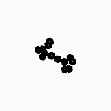 c1ccc2cc(-c3nc4ccccc4c4c3cc(-c3ccc(-c5ccc(-c6nc(-c7cccc8ccccc78)cc(-c7cccc8ccccc78)n6)cc5)cc3)c3ccccc34)ccc2c1